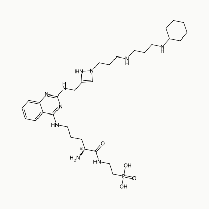 N[C@@H](CCCNc1nc(NCc2cn(CCCNCCCNC3CCCCC3)[nH]2)nc2ccccc12)C(=O)NCCP(=O)(O)O